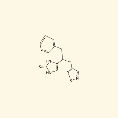 S=c1[nH]cc(C(Cc2ccccc2)Cc2cnsn2)[nH]1